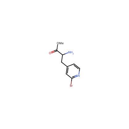 COC(=O)C(N)Cc1ccnc(Br)c1